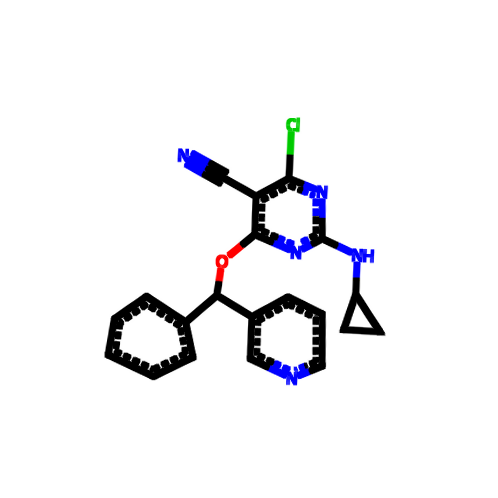 N#Cc1c(Cl)nc(NC2CC2)nc1OC(c1ccccc1)c1cccnc1